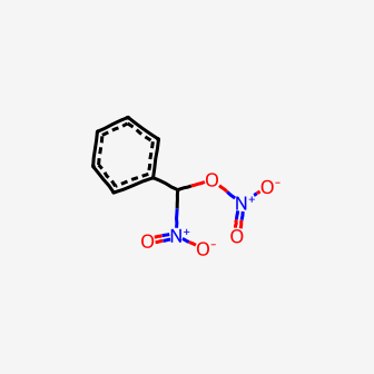 O=[N+]([O-])OC(c1ccccc1)[N+](=O)[O-]